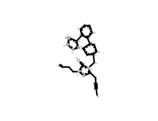 C=CCCn1nc(CC#CC)n(Cc2ccc(-c3ccccc3-c3nnn[nH]3)cc2)c1=O